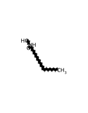 CCCCCCCC/C=C\CCCCCCCCCCCCCC(=O)NCCO